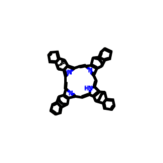 c1ccc2c(c1)C1CCC2C2=C1c1cc3[nH]c(cc4nc(cc5[nH]c(cc2n1)c1c5C2CCC1c1ccccc12)C1=C4C2CCC1c1ccccc12)c1c3C2CCC1c1ccccc12